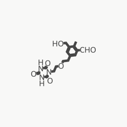 Cc1c(C=O)cc(CCOCCn2c(=O)[nH]c(=O)[nH]c2=O)cc1CO